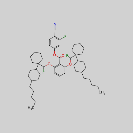 CCCCCC1CCC(C2(C(F)Oc3cccc(OC(F)C4(C5CCC(CCCCC)CC5)CCCCC4)c3C(=O)Oc3ccc(C#N)c(F)c3)CCCCC2)CC1